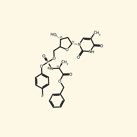 Cc1cn([C@H]2C[C@@H](O)C(COP(=O)(N[C@@H](C)C(=O)OCc3ccccc3)Oc3ccc(F)cc3)O2)c(=O)[nH]c1=O